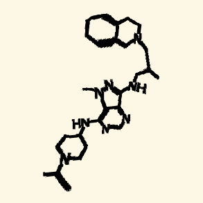 C=C(C)N1CCC(Nc2ncnc3c(NCC(C)CN4CCc5ccccc5C4)nn(C)c23)CC1